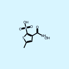 Cc1cc(C(N)=O)c(S(=O)(=O)O)s1.Cl